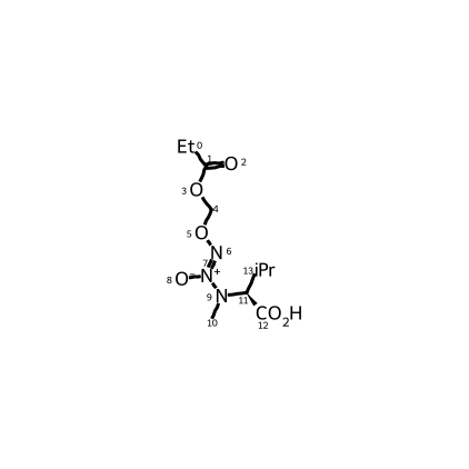 CCC(=O)OCON=[N+]([O-])N(C)[C@H](C(=O)O)C(C)C